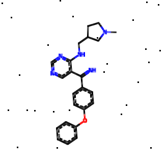 CN1CCC(CNc2ncncc2C(=N)c2ccc(Oc3ccccc3)cc2)C1